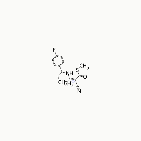 CCC(N/C(C)=C(/C#N)C(=O)SC)c1ccc(F)cc1